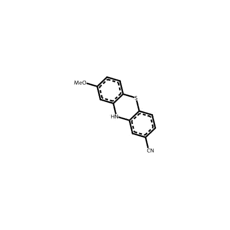 COc1ccc2c(c1)Nc1cc(C#N)ccc1S2